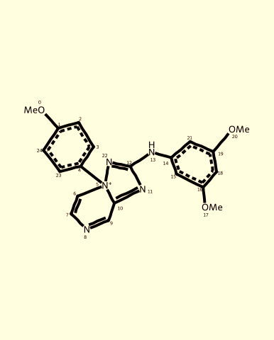 COc1ccc([N+]23C=CN=CC2=NC(Nc2cc(OC)cc(OC)c2)=N3)cc1